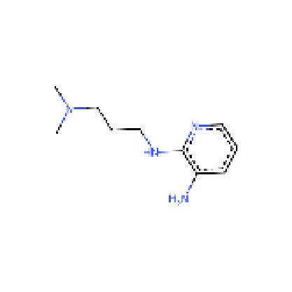 CN(C)CCCNc1ncccc1N